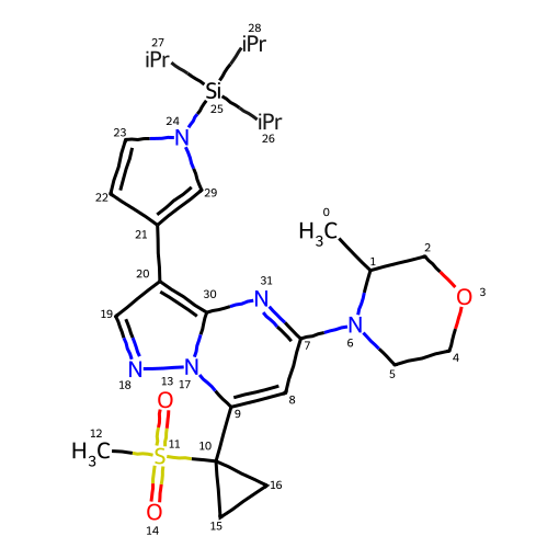 CC1COCCN1c1cc(C2(S(C)(=O)=O)CC2)n2ncc(-c3ccn([Si](C(C)C)(C(C)C)C(C)C)c3)c2n1